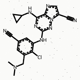 CN(C)Cc1cc(C#N)cc(Nc2nc(NC3CC3)c3ncc(C#N)n3n2)c1Cl